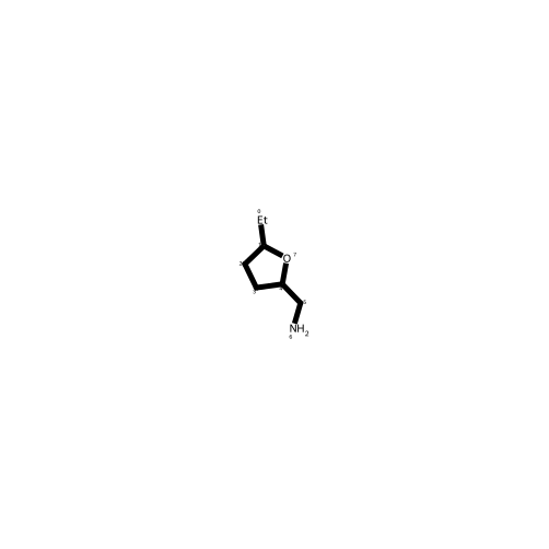 CCC1CCC(CN)O1